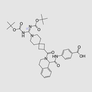 CC(C)(C)OC(=O)/N=C(/NC(=O)OC(C)(C)C)N1CCC2(CC1)CC(C(=O)N1CCc3ccccc3C1C(=O)Nc1ccc(C(=O)O)cc1)C2